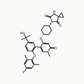 Cc1cc(F)cc(C)c1Oc1ccc(C(C)(C)O)cc1-c1cn(C)c(=O)cc1O[C@H]1CC[C@H](N2C(=O)NC3(CC3)C2=O)CC1